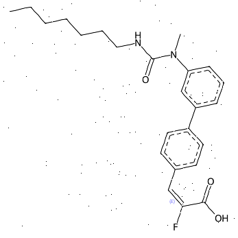 CCCCCCCNC(=O)N(C)c1cccc(-c2ccc(/C=C(/F)C(=O)O)cc2)c1